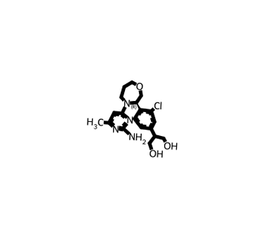 Cc1cc(N2CCCOC[C@H]2c2ccc(C(CO)CO)cc2Cl)nc(N)n1